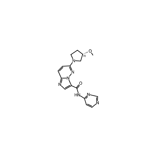 CO[C@H]1CCN(c2ccc3ncc(C(=O)Nc4ccncn4)n3n2)C1